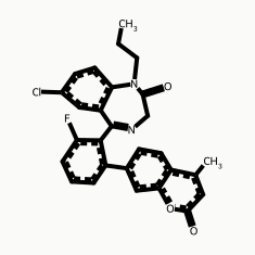 CCCN1C(=O)CN=C(c2c(F)cccc2-c2ccc3c(C)cc(=O)oc3c2)c2cc(Cl)ccc21